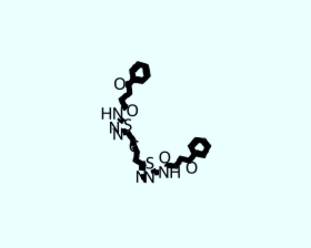 O=C(CCC(=O)c1ccccc1)Nc1nnc(CCCCc2nnc(NC(=O)CCC(=O)c3ccccc3)s2)s1